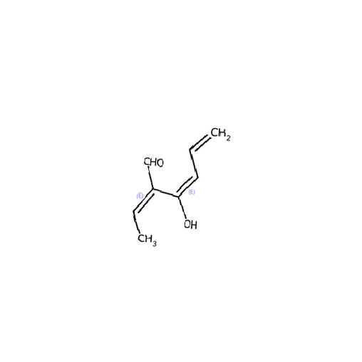 C=C/C=C(O)\C(C=O)=C/C